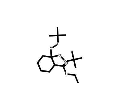 CCOC(=O)C1CCCCC1(OOC(C)(C)C)OOC(C)(C)C